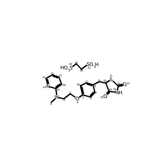 CN(CCOc1ccc(CC2SC(=O)NC2=O)cc1)c1ccccn1.O=S(=O)(O)CCS(=O)(=O)O